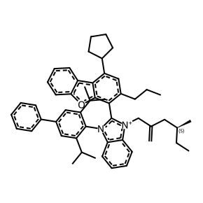 C=C(C[C@@H](C)CC)C[n+]1c(-c2c(CCC)cc(C3CCCC3)c3c2oc2ccccc23)n(-c2c(C(C)C)cc(-c3ccccc3)cc2C(C)C)c2ccccc21